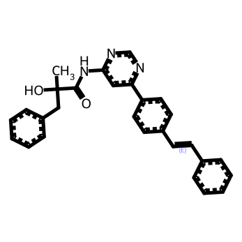 CC(O)(Cc1ccccc1)C(=O)Nc1cc(-c2ccc(/C=C/c3ccccc3)cc2)ncn1